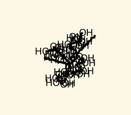 CCCCCCCCCCCCC(CO[C@@H]1OC(CO)[C@@H](O[C@@H](O)/C(O)=C(/O)[C@H](O)CCO)C(O)C1O)(CO[C@H](O)/C(O)=C(/O)[C@@H](CCO)O[C@@H](O)/C(O)=C(/O)[C@H](O)CCO)Cc1ccc(CC(CCCCCCCCCCCC)(CO[C@H](O)/C(O)=C(\O)[C@@H](CCO)O[C@H]2OC(CO)[C@@H](O)C(O)C2O)CO[C@H](O)/C(O)=C(\O)[C@@H](CCO)O[C@@H](O)/C(O)=C(/O)[C@H](O)CCO)cc1